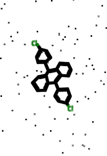 Clc1ccc(-c2c3ccccc3c(-c3ccc(Cl)cc3)c3ccccc23)cc1